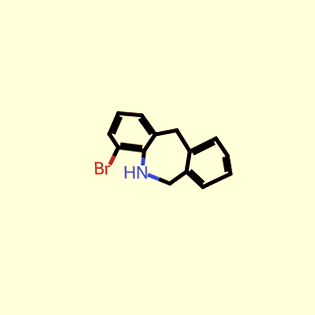 Brc1cccc2c1NCc1ccccc1C2